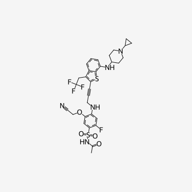 CC(=O)NS(=O)(=O)c1cc(OCC#N)c(NCC#Cc2sc3c(NC4CCN(C5CC5)CC4)cccc3c2CC(F)(F)F)cc1F